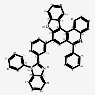 c1ccc(-c2nc3ccccc3c3c2cc(-c2cccc(-c4nc5ccccc5n4-c4ccccc4)c2)c2oc4ccccc4c23)cc1